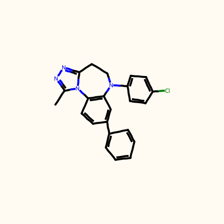 Cc1nnc2n1-c1ccc(-c3ccccc3)cc1N(c1ccc(Cl)cc1)CC2